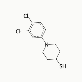 SC1CCN(c2ccc(Cl)c(Cl)c2)CC1